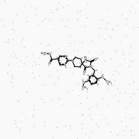 COC(=O)c1cnc(N2CCC3(CC2)NC(=O)N(Cc2cc(OC)ccc2OC)C3=O)nc1